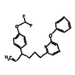 C=CC(CCCc1cccc(Oc2ccccc2)n1)c1ccc(OC(F)F)cc1